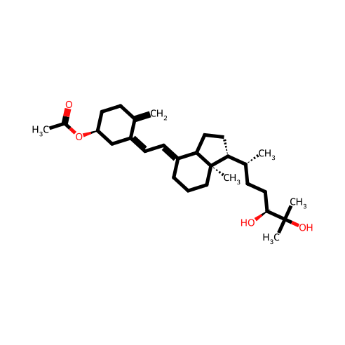 C=C1CC[C@H](OC(C)=O)C/C1=C/C=C1CCC[C@@]2(C)C1CC[C@@H]2[C@H](C)CC[C@H](O)C(C)(C)O